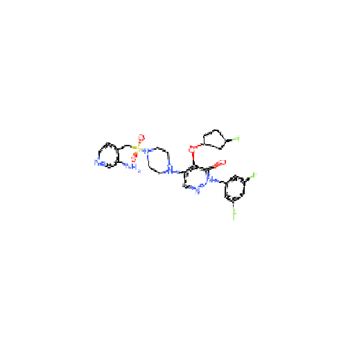 Nc1cnccc1CS(=O)(=O)N1CCN(c2cnn(-c3cc(F)cc(F)c3)c(=O)c2OC2CCC(F)C2)CC1